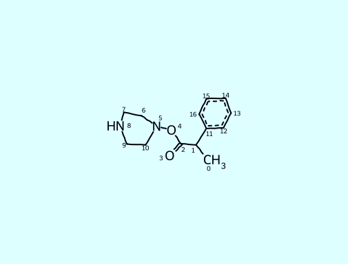 CC(C(=O)ON1CCNCC1)c1ccccc1